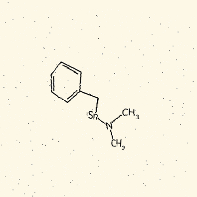 C[N](C)[Sn][CH2]c1ccccc1